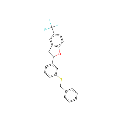 FC(F)(F)c1ccc2c(c1)CC(c1cccc(SCc3ccccc3)c1)O2